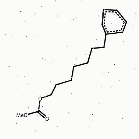 COC(=O)OCCCCCCCc1ccccc1